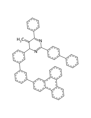 C=C1C(c2ccccc2)=NC(c2ccc(-c3ccccc3)cc2)=NC1c1cccc(-c2cccc(-c3ccc4c5ccccc5c5ccccc5c4c3)c2)c1